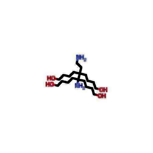 NCCC(CCCCO)(CCCCO)C(N)(CCCCO)CCCCO